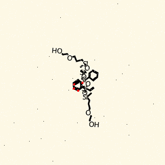 C=C[Si](O[Si](C)(C)CCCOCCO)(O[Si](O[Si](C)(C)O[Si](C)(C)CCCOCCO)(c1ccccc1)c1ccccc1)c1ccccc1